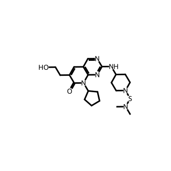 CN(C)SN1CCC(Nc2ncc3cc(CCO)c(=O)n(C4CCCC4)c3n2)CC1